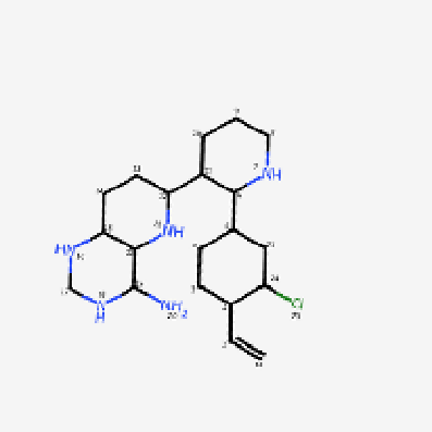 C=CC1CCC(C2NCCCC2C2CCC3NCNC(N)C3N2)CC1Cl